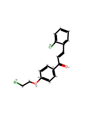 O=C(C=Cc1ccccc1Cl)c1ccc(OCCBr)cc1